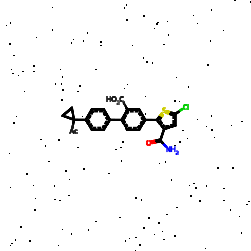 CC(=O)C1(c2ccc(-c3ccc(-c4sc(Cl)cc4C(N)=O)cc3C(=O)O)cc2)CC1